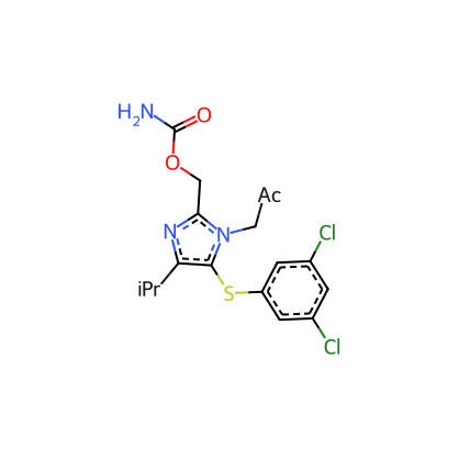 CC(=O)Cn1c(COC(N)=O)nc(C(C)C)c1Sc1cc(Cl)cc(Cl)c1